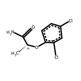 C[C@@H](Oc1ccc(Cl)cc1Cl)C(N)=O